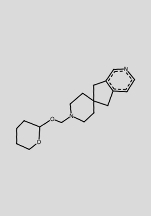 c1cc2c(cn1)CC1(CCN(COC3CCCCO3)CC1)C2